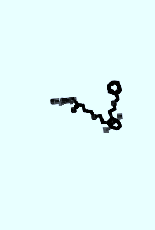 CN(O)C(=O)CCCOCC[C@H]1[C@@H](CCOCc2ccccc2)[C@H]2CC[C@@H]1O2